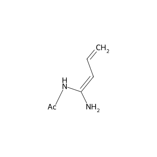 C=C/C=C(/N)NC(C)=O